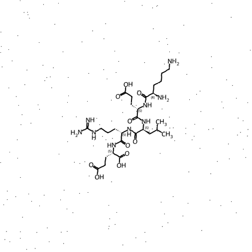 CC(C)C[C@H](NC(=O)[C@H](CCC(=O)O)NC(=O)[C@H](N)CCCCN)C(=O)N[C@@H](CCCNC(=N)N)C(=O)N[C@@H](CCC(=O)O)C(=O)O